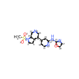 CS(=O)(=O)n1ccc2c(-c3ccnc(Nc4ncco4)c3)cncc21